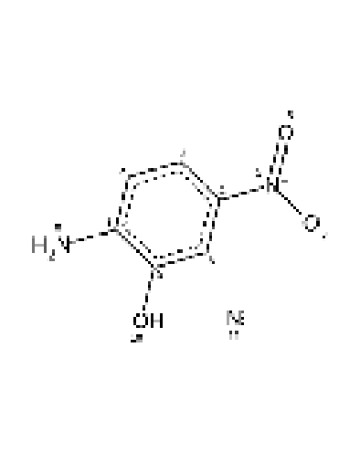 Nc1ccc([N+](=O)[O-])cc1O.[N]